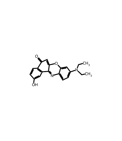 CCN(CC)c1ccc2nc3c4cc(O)ccc4c(=O)cc-3oc2c1